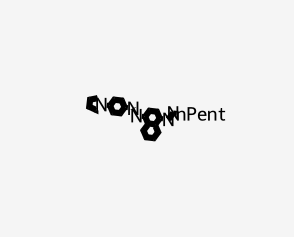 CCCCC/N=N/c1ccc(/N=N/c2ccc(-n3cccc3)cc2)c2ccccc12